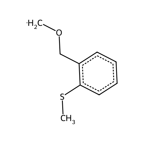 [CH2]OCc1ccccc1SC